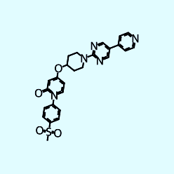 CS(=O)(=O)c1ccc(-n2ccc(OC3CCN(c4ncc(-c5ccncc5)cn4)CC3)cc2=O)cc1